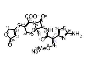 CO/N=C(\C(=O)N[C@@H]1C(=O)N2C(C(=O)[O-])=C(SC3=CC(=O)OC3)CS[C@@H]12)c1csc(N)n1.[Na+]